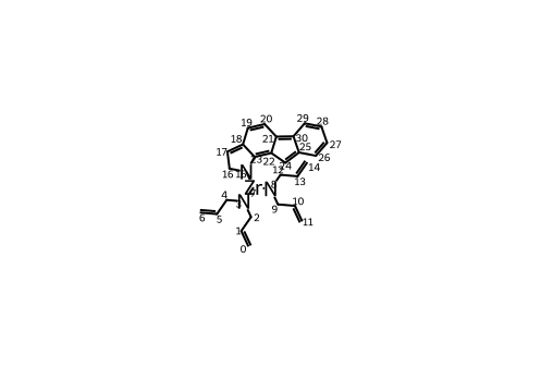 C=CC[N](CC=C)[Zr]([N](CC=C)CC=C)[N]1CC=c2ccc3c(c21)C=c1ccccc1=3